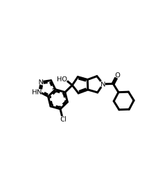 O=C(C1CCCCC1)N1CC2=CC(O)(c3cc(Cl)cc4[nH]ncc34)C=C2C1